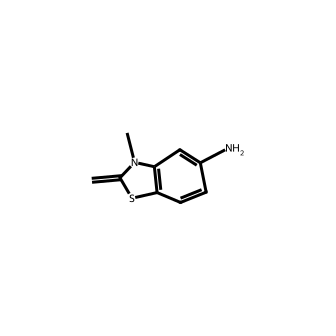 C=C1Sc2ccc(N)cc2N1C